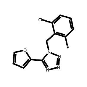 Fc1cccc(Cl)c1Cn1nnnc1-c1ccco1